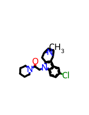 CN1C2CCC1c1c(n(CC(=O)N3CCCCC3)c3ccc(Cl)cc13)C2